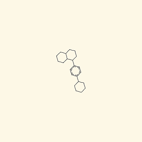 c1cc(C2CCCC3CCCCC32)ccc1C1CCCCC1